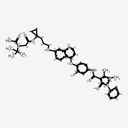 Cc1c(C(=O)Nc2ccc(Oc3ccnc4cc(OCCCC5(OC(=O)CN(C(=O)O)C(C)(C)C)CC5)ccc34)c(F)c2)c(=O)n(-c2ccccc2)n1C